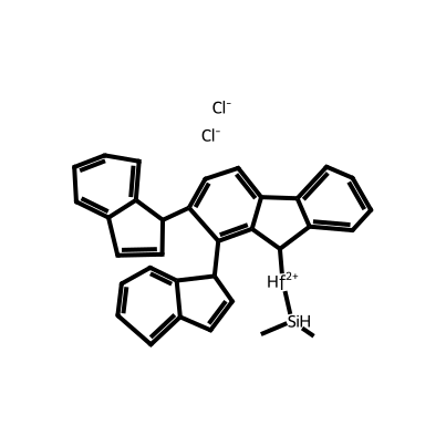 C[SiH](C)[Hf+2][CH]1c2ccccc2-c2ccc(C3C=Cc4ccccc43)c(C3C=Cc4ccccc43)c21.[Cl-].[Cl-]